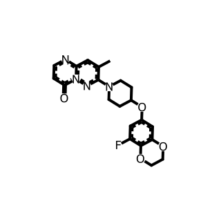 Cc1cc2nccc(=O)n2nc1N1CCC(Oc2cc(F)c3c(c2)OCCO3)CC1